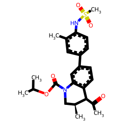 CC(=O)C1c2ccc(-c3ccc(NS(C)(=O)=O)c(C)c3)cc2N(C(=O)OC(C)C)C[C@@H]1C